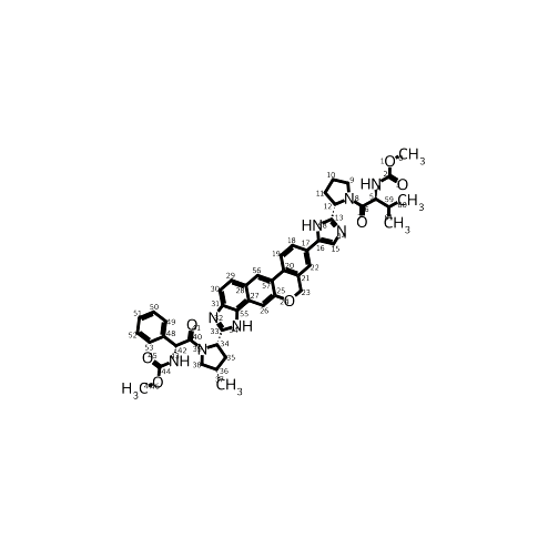 COC(=O)N[C@H](C(=O)N1CCC[C@H]1c1ncc(-c2ccc3c(c2)COc2cc4c(ccc5nc([C@@H]6C[C@H](C)CN6C(=O)[C@H](NC(=O)OC)c6ccccc6)[nH]c54)cc2-3)[nH]1)C(C)C